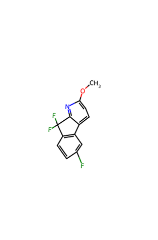 COc1ccc2c(n1)C(F)(F)c1ccc(F)cc1-2